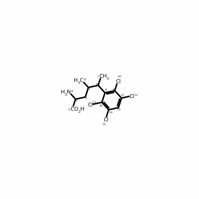 CC(CC(N)C(=O)O)C(C)c1c(Cl)c(Cl)cc(Cl)c1Cl